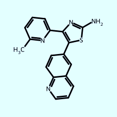 Cc1cccc(-c2nc(N)sc2-c2ccc3ncccc3c2)n1